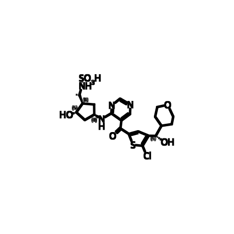 O=C(c1cc([C@@H](O)C2CCOCC2)c(Cl)s1)c1cncnc1N[C@H]1C[C@H](O)[C@@H]([CH]NS(=O)(=O)O)C1